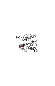 CCC1=C[C@@H]2C[N@](C1)Cc1c([nH]c3ccccc13)[C@@](C(=O)OC)(c1cc3c(cc1OC)N(C)[C@H]1[C@@](O)(C(=O)OC)[C@H](OC(C)=O)[C@]4(CC)C=CCN5CC[C@]31[C@@H]54)C2.C[C@]12C=CC(=O)C=C1CC[C@@H]1[C@@H]2C(=O)C[C@@]2(C)[C@H]1CC[C@]2(O)C(=O)CO